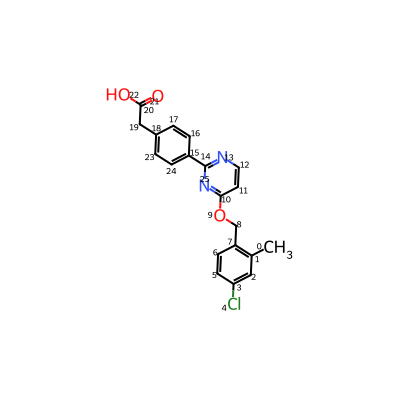 Cc1cc(Cl)ccc1COc1ccnc(-c2ccc(CC(=O)O)cc2)n1